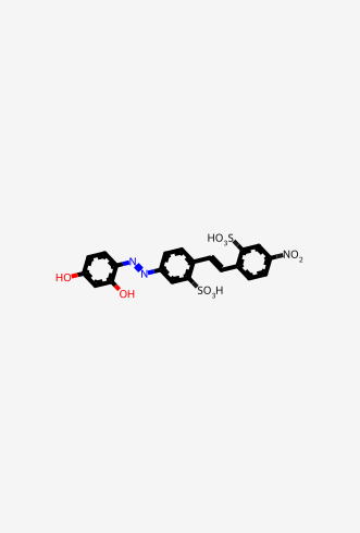 O=[N+]([O-])c1ccc(C=Cc2ccc(N=Nc3ccc(O)cc3O)cc2S(=O)(=O)O)c(S(=O)(=O)O)c1